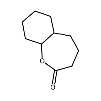 O=C1CCCC2CCCCC2O1